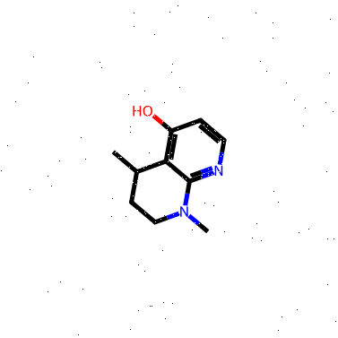 CC1CCN(C)c2nccc(O)c21